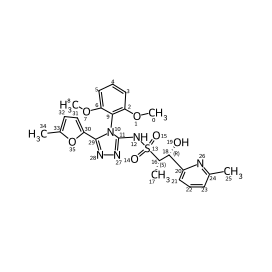 COc1cccc(OC)c1-n1c(NS(=O)(=O)[C@@H](C)[C@H](O)c2cccc(C)n2)nnc1-c1ccc(C)o1